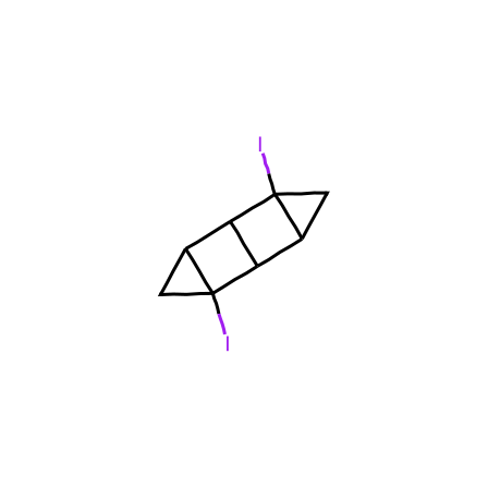 IC12CC1C1C2C2CC21I